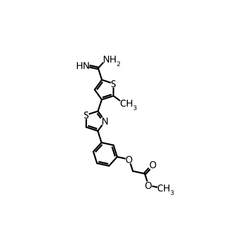 COC(=O)COc1cccc(-c2csc(-c3cc(C(=N)N)sc3C)n2)c1